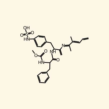 C=C/C=C(C)/C(C)=N/C(=C)C(Cc1ccc(NS(=O)(=O)O)cc1)NC(=O)C(Cc1ccccc1)NC(=O)OC